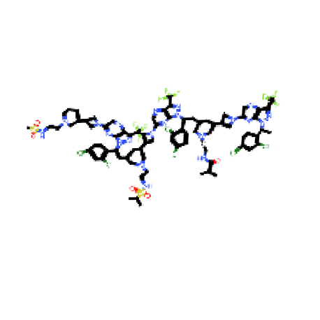 CC(C)C(=O)NCCN1CC(CC(c2ccc(Cl)cc2Cl)n2nc(C(F)(F)F)c3ncc(N4CC(C5CC(CC(c6ccc(Cl)cc6Cl)n6nc(C(F)(F)F)c7ncc(N8CC(C9CCCN(CCNS(C)(=O)=O)C9)C8)nc76)CN(CCNS(=O)(=O)C(C)C)C5)C4)nc32)CC(C2CN(c3cnc4c(C(F)(F)F)nn(C(C)c5ccc(Cl)cc5Cl)c4n3)C2)C1